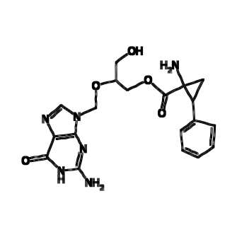 Nc1nc2c(ncn2COC(CO)COC(=O)C2(N)CC2c2ccccc2)c(=O)[nH]1